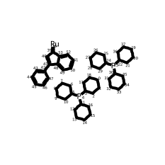 C1CCC(P(C2CCCCC2)C2CCCCC2)CC1.C1CCC(P(C2CCCCC2)C2CCCCC2)CC1.[Ru]=[C]1C=C(c2ccccc2)c2ccccc21